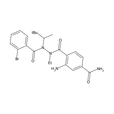 CCN(C(=O)c1ccc(C(N)=O)cc1N)N(C(=O)c1ccccc1Br)C(C)C(C)(C)C